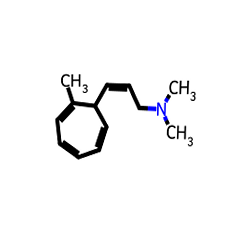 CC1=CC=CC=CC1/C=C\CN(C)C